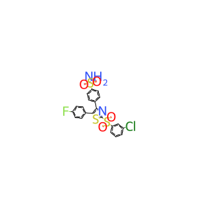 NS(=O)(=O)c1ccc(-c2nc(S(=O)(=O)c3cccc(Cl)c3)sc2-c2ccc(F)cc2)cc1